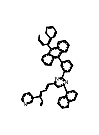 C=C/C(=C\C=C\c1cc(-c2cccc3ccccc23)nc(-c2cccc(-c3c4ccccc4c(C(/C=C\C)=C4\C=CC=CC4)c4ccccc34)c2)n1)c1cccnc1